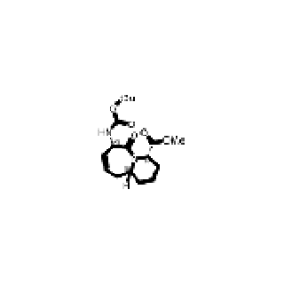 COC(=O)[C@@H]1CCC[C@@H]2CC=C[C@H](NC(=O)OC(C)(C)C)C(=O)N21